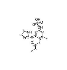 CC[C@@H]1Cc2c(C)cccc2C(C2=NCCN2)O1.O=S(=O)(O)O